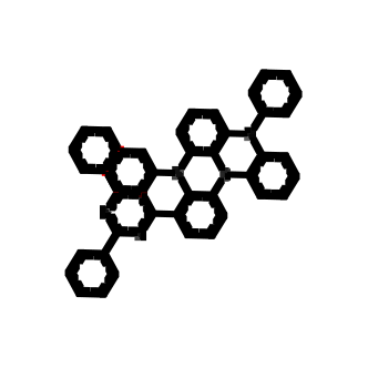 c1ccc(-c2nc(-c3ccccc3)nc(-c3cccc4c3N(c3ccccc3)c3cccc5c3B4c3ccccc3N5c3ccccc3)n2)cc1